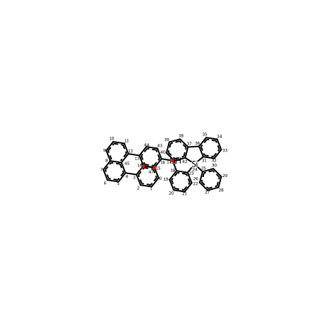 c1ccc(-c2cccc3cccc(-c4ccc(Nc5ccccc5[Si]5(c6ccccc6)c6ccccc6-c6ccccc65)cc4)c23)cc1